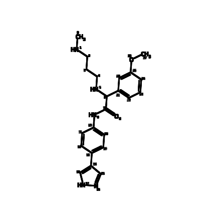 CNCCCNC(C(=O)Nc1ccc(-c2cn[nH]c2)cc1)c1cccc(OC)c1